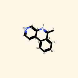 Cc1nc2cnccc2c2ccccc12